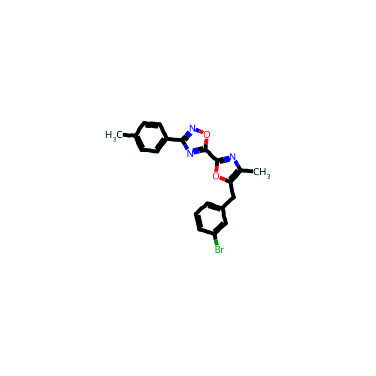 Cc1ccc(-c2noc(-c3nc(C)c(Cc4cccc(Br)c4)o3)n2)cc1